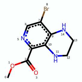 COC(=O)c1ncc(Br)c2c1NCCN2